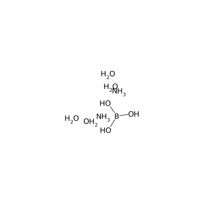 N.N.O.O.O.O.OB(O)O